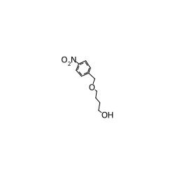 O=[N+]([O-])c1ccc(COCCCCO)cc1